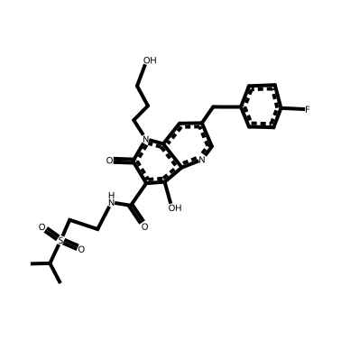 CC(C)S(=O)(=O)CCNC(=O)c1c(O)c2ncc(Cc3ccc(F)cc3)cc2n(CCCO)c1=O